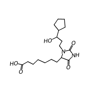 O=C(O)CCCCCCC1C(=O)NC(=O)N1CCC(O)C1CCCC1